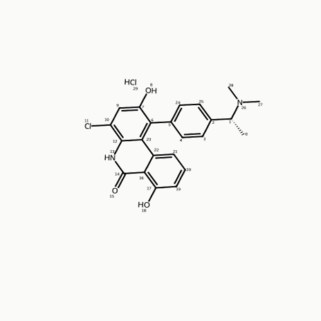 C[C@H](c1ccc(-c2c(O)cc(Cl)c3[nH]c(=O)c4c(O)cccc4c23)cc1)N(C)C.Cl